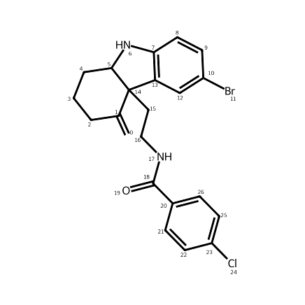 C=C1CCCC2Nc3ccc(Br)cc3C12CCNC(=O)c1ccc(Cl)cc1